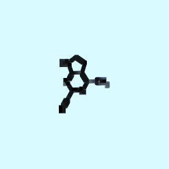 Cc1nc(C#N)nc2[nH]ccc12